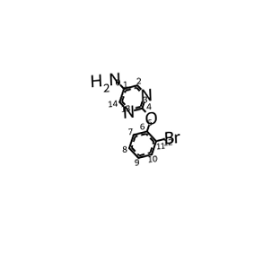 Nc1cnc(Oc2ccccc2Br)nc1